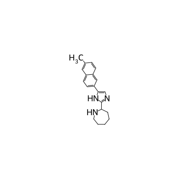 Cc1ccc2cc(-c3cnc(C4CCCCCN4)[nH]3)ccc2c1